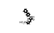 O=C1NN(c2ccc(-c3ccccc3)cc2)C(=O)C1=Cc1ccc(C(=O)O)o1